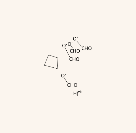 C1CCC1.O=C[O-].O=C[O-].O=C[O-].O=C[O-].[Hf+4]